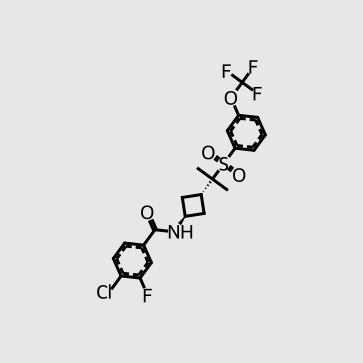 CC(C)([C@H]1C[C@H](NC(=O)c2ccc(Cl)c(F)c2)C1)S(=O)(=O)c1cccc(OC(F)(F)F)c1